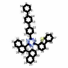 c1ccc(-c2ccc(-c3ccc(-c4nc(-c5c(-c6cccc7ccccc67)ccc6ccccc56)nc(-c5cccc6c5sc5ccccc56)n4)cc3)cc2)cc1